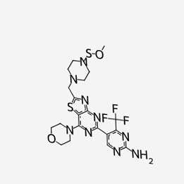 COSN1CCN(Cc2nc3nc(-c4cnc(N)nc4C(F)(F)F)nc(N4CCOCC4)c3s2)CC1